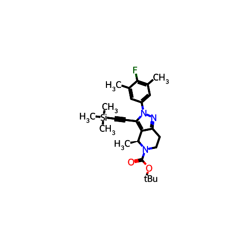 Cc1cc(-n2nc3c(c2C#C[Si](C)(C)C)[C@H](C)N(C(=O)OC(C)(C)C)CC3)cc(C)c1F